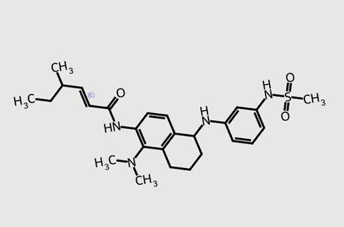 CCC(C)/C=C/C(=O)Nc1ccc2c(c1N(C)C)CCCC2Nc1cccc(NS(C)(=O)=O)c1